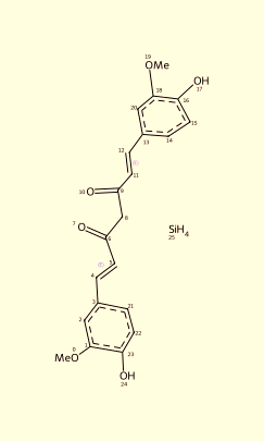 COc1cc(/C=C/C(=O)CC(=O)/C=C/c2ccc(O)c(OC)c2)ccc1O.[SiH4]